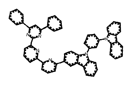 c1ccc(-c2cc(-c3ccccc3)nc(-c3cccc(-c4cccc(-c5ccc6c(c5)c5ccccc5n6-c5cccc(-n6c7ccccc7c7ccccc76)c5)n4)n3)n2)cc1